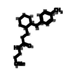 COCCNC(=O)CSC1CCCCC1Sc1ccc(C)cc1